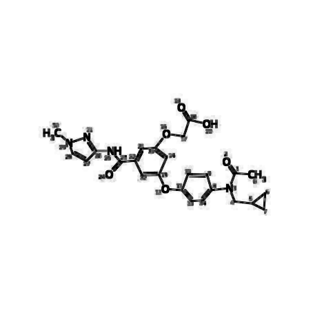 CC(=O)N(CC1CC1)c1ccc(Oc2cc(OCC(=O)O)cc(C(=O)Nc3ccn(C)n3)c2)cc1